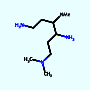 CNC(CCN)C(N)CCN(C)C